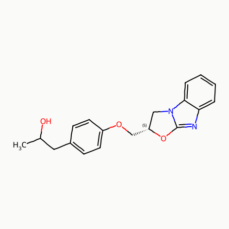 CC(O)Cc1ccc(OC[C@@H]2Cn3c(nc4ccccc43)O2)cc1